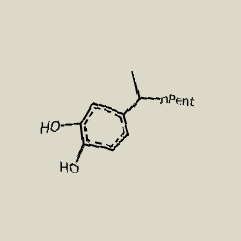 CCCCCC(C)c1ccc(O)c(O)c1